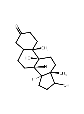 C[C@]12CCC(=O)CC1CC[C@H]1[C@@H]3CCC(O)[C@@]3(C)CC[C@]12O